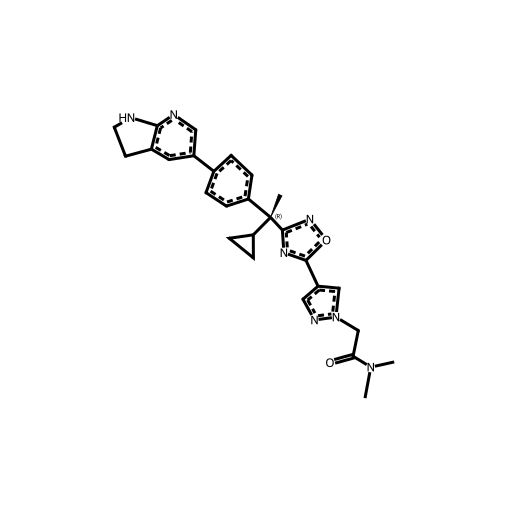 CN(C)C(=O)Cn1cc(-c2nc([C@@](C)(c3ccc(-c4cnc5c(c4)CCN5)cc3)C3CC3)no2)cn1